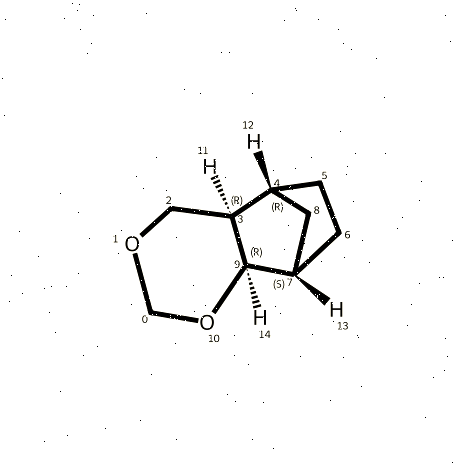 C1OC[C@H]2[C@@H]3CC[C@@H](C3)[C@H]2O1